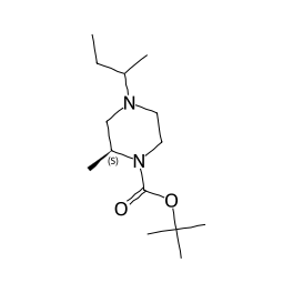 CCC(C)N1CCN(C(=O)OC(C)(C)C)[C@@H](C)C1